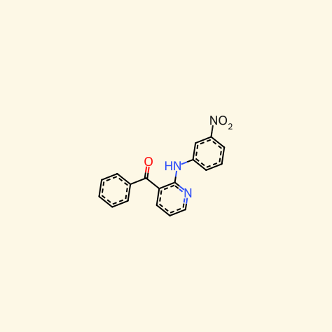 O=C(c1ccccc1)c1cccnc1Nc1cccc([N+](=O)[O-])c1